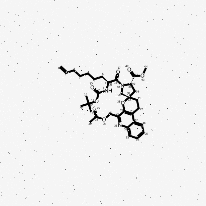 C=CCCCCC[C@H](NC(=O)OC(C)(C)C)C(=O)N1C[C@]2(CCc3c(c(COC(C)=O)nc4ccccc34)O2)C[C@H]1C(=O)OC